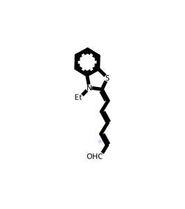 CCN1C(=CC=C/C=C/C=O)Sc2ccccc21